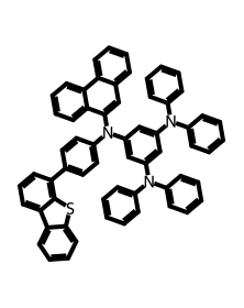 c1ccc(N(c2ccccc2)c2cc(N(c3ccccc3)c3ccccc3)cc(N(c3ccc(-c4cccc5c4sc4ccccc45)cc3)c3cc4ccccc4c4ccccc34)c2)cc1